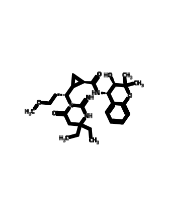 CCC1(CC)CC(=O)N([C@H](CCOC)C2C[C@H]2C(=O)N[C@H]2c3ccccc3OC(C)(C)[C@@H]2O)C(=N)N1